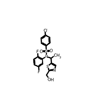 CC(c1cnc(CO)s1)N(c1cc(F)ccc1F)S(=O)(=O)c1ccc(Cl)cc1